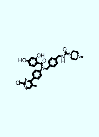 Cc1cnc(Cl)nc1-c1ccc(N(Cc2ccc(CNC(=O)N3CCN(C)CC3)cc2)C(=O)c2ccc(O)cc2O)cc1